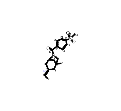 C/C=C1/CC2CC(C)(C1)CN2C(=O)c1ccc(S(C)(=O)=O)cc1